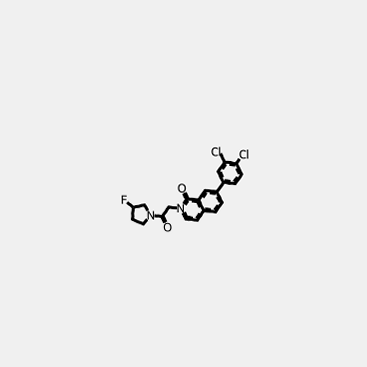 O=C(Cn1ccc2ccc(-c3ccc(Cl)c(Cl)c3)cc2c1=O)N1CCC(F)C1